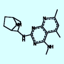 CNc1nc(NC2CC3CCC2N3)nc2nc(C)cc(C)c12